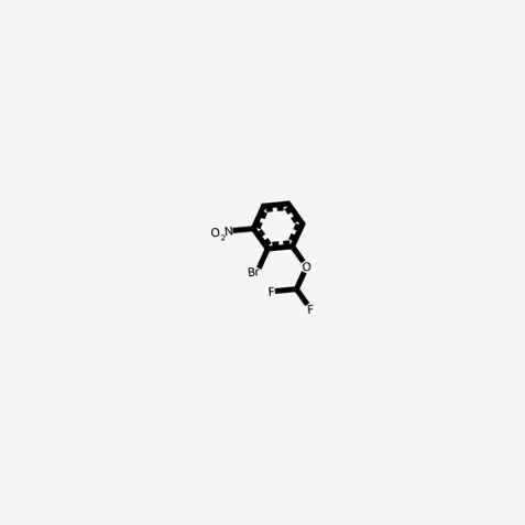 O=[N+]([O-])c1cccc(OC(F)F)c1Br